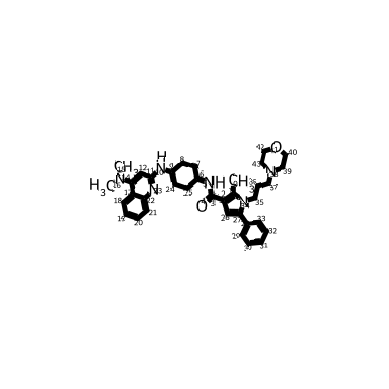 Cc1c(C(=O)NC2CCC(Nc3cc(N(C)C)c4ccccc4n3)CC2)cc(-c2ccccc2)n1CCCN1CCOCC1